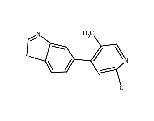 Cc1cnc(Cl)nc1-c1ccc2scnc2c1